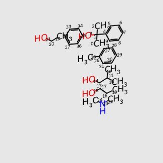 CC(C)(O)c1ccccc1.CC(C)CO.CCCO.CCO.CNC.Cc1ccccc1.c1ccccc1